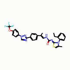 CCc1ccccc1-n1c(C)cs/c1=N\C(=O)N/C=C(\C)c1ccc(-c2ncn(-c3ccc(OC(F)(F)F)cc3)n2)cc1